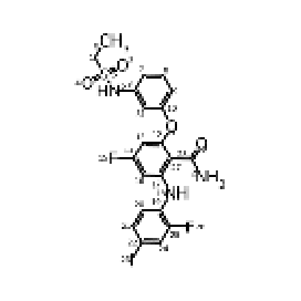 CCS(=O)(=O)Nc1cccc(Oc2cc(F)cc(Nc3ccc(I)cc3F)c2C(N)=O)c1